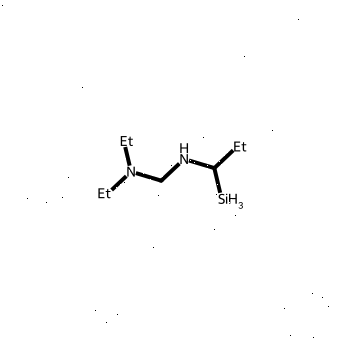 CCC([SiH3])NCN(CC)CC